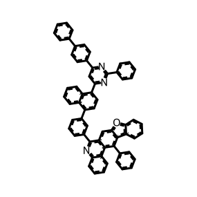 c1ccc(-c2ccc(-c3cc(-c4ccc(-c5cccc(-c6nc7ccccc7c7c(-c8ccccc8)c8c(cc67)oc6ccccc68)c5)c5ccccc45)nc(-c4ccccc4)n3)cc2)cc1